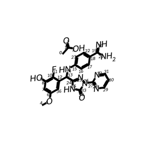 CC(=O)O.COc1cc(O)c(F)c(C(Nc2ccc(C(=N)N)cc2)c2nn(-c3ncccn3)c(=O)[nH]2)c1